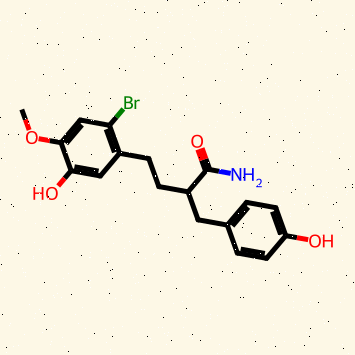 COc1cc(Br)c(CCC(Cc2ccc(O)cc2)C(N)=O)cc1O